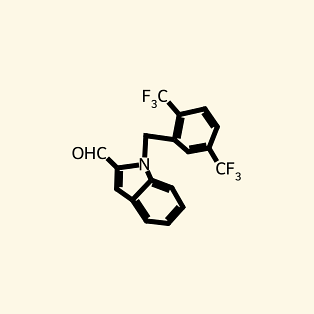 O=Cc1cc2ccccc2n1Cc1cc(C(F)(F)F)ccc1C(F)(F)F